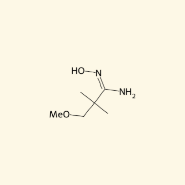 COCC(C)(C)/C(N)=N\O